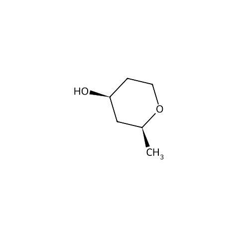 C[C@H]1C[C@@H](O)CCO1